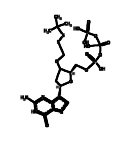 CC(C)(C)SSCOC1C[C@H](n2cnc3c(=O)[nH]c(N)nc32)O[C@@H]1COP(=O)(O)OP(=O)(O)OP(=O)(O)O